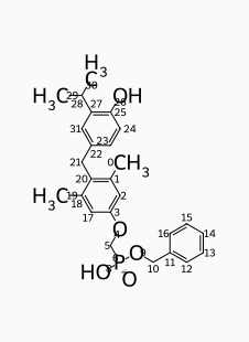 Cc1cc(OCP(=O)(O)OCc2ccccc2)cc(C)c1Cc1ccc(O)c(C(C)C)c1